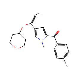 CCC=C(OC1CCOCC1)c1cc(C(=O)c2ccc([N+](=O)[O-])cc2)n(CC)c1